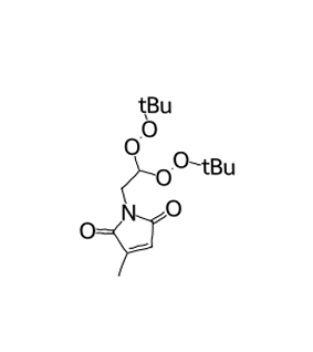 CC1=CC(=O)N(CC(OOC(C)(C)C)OOC(C)(C)C)C1=O